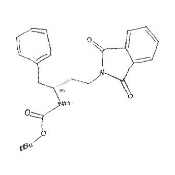 CC(C)(C)OC(=O)N[C@@H](CCN1C(=O)c2ccccc2C1=O)Cc1ccccc1